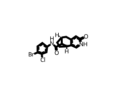 O=C(Nc1ccc(Br)c(Cl)c1)C1[C@H]2CC[C@H]1c1c[nH]c(=O)cc1C2